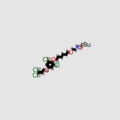 CC(C)(C)O/N=C/COCCCCCCOc1c(Cl)cc(OCC=C(Cl)Cl)cc1Cl